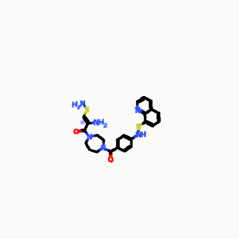 NS/C=C(\N)C(=O)N1CCCN(C(=O)c2ccc(NSc3cccc4cccnc34)cc2)CC1